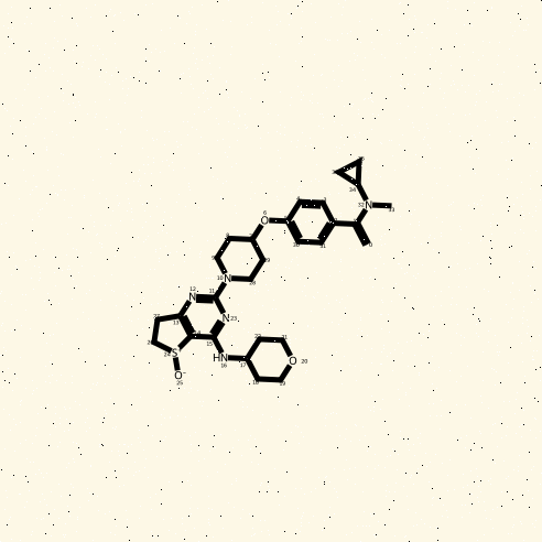 C=C(c1ccc(OC2CCN(c3nc4c(c(NC5CCOCC5)n3)[S+]([O-])CC4)CC2)cc1)N(C)C1CC1